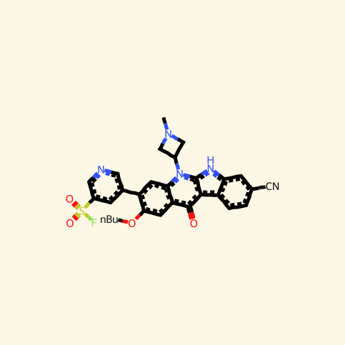 CCCCOc1cc2c(=O)c3c4ccc(C#N)cc4[nH]c3n(C3CN(C)C3)c2cc1-c1cncc(S(=O)(=O)F)c1